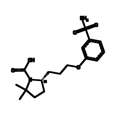 CC1(C)CC[C@@H](CCCOc2cccc(S(N)(=O)=O)c2)N1C(=O)O